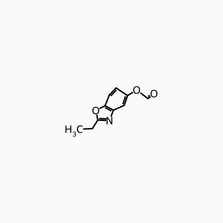 CCc1nc2cc(OC=O)ccc2o1